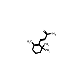 CC1=C(C=CC(N)=O)C(C)(C)CCC1